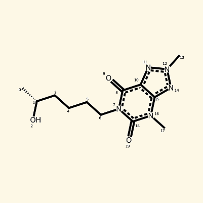 C[C@@H](O)CCCCn1c(=O)c2nn(C)nc2n(C)c1=O